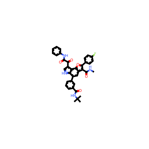 CNC(=O)c1c(-c2ccc(F)cc2)oc2c1cc(-c1cccc(C(=O)NC(C)(C)C)c1)c1[nH]cc(C(=O)C(=O)Nc3ccccc3)c12